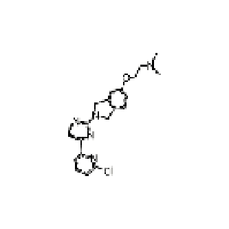 CN(C)CCOc1ccc2c(c1)CN(c1nccc(-c3cccc(Cl)n3)n1)C2